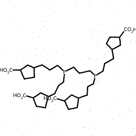 O=C(O)C1CCC(CCCP(CCCC2CCC(C(=O)O)C2)CCCP(CCCC2CCC(C(=O)O)C2)CCCC2CCC(C(=O)O)C2)C1